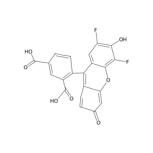 O=C(O)c1ccc(-c2c3ccc(=O)cc-3oc3c(F)c(O)c(F)cc23)c(C(=O)O)c1